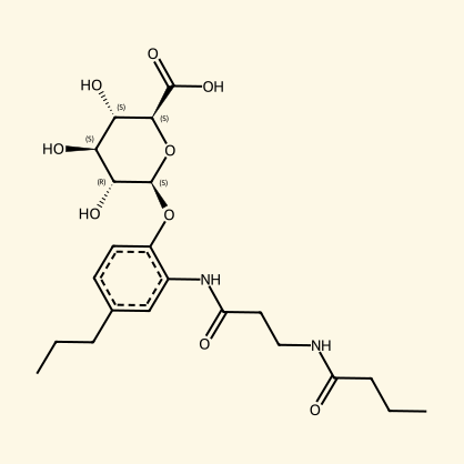 CCCC(=O)NCCC(=O)Nc1cc(CCC)ccc1O[C@@H]1O[C@H](C(=O)O)[C@@H](O)[C@H](O)[C@H]1O